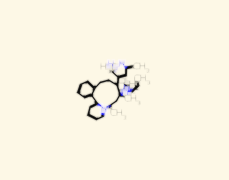 C=C(N)/C=C(\CC)C1(C)CCc2ccccc2-c2cccc[n+]2C(=C)CC1(C)[N+](=C)/C=C\C